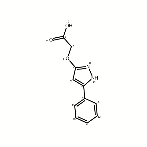 O=C(O)COc1cc(-c2ccccc2)[nH]n1